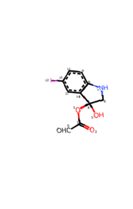 O=CC(=O)OC1(O)CNc2ccc(I)cc21